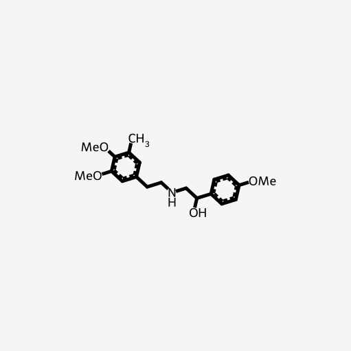 COc1ccc(C(O)CNCCc2cc(C)c(OC)c(OC)c2)cc1